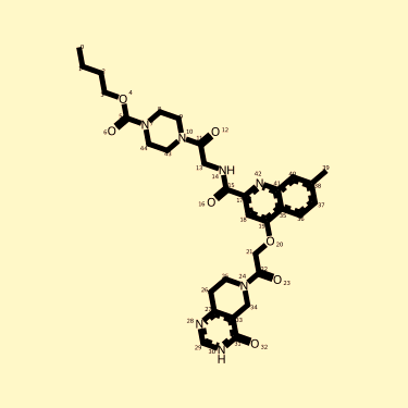 CCCCOC(=O)N1CCN(C(=O)CNC(=O)c2cc(OCC(=O)N3CCc4nc[nH]c(=O)c4C3)c3ccc(C)cc3n2)CC1